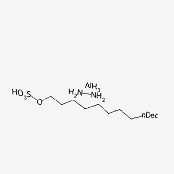 CCCCCCCCCCCCCCCCCCOS(=O)(=O)O.NN.[AlH3]